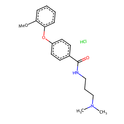 COc1ccccc1Oc1ccc(C(=O)NCCCN(C)C)cc1.Cl